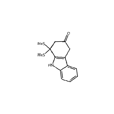 CSC1(SC)CC(=O)Cc2c1[nH]c1ccccc21